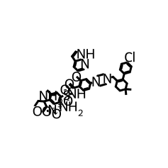 Cc1cc(S(=O)(=O)NC(=O)c2ccc(N3CCN(CC4=C(c5ccc(Cl)cc5)CC(C)(C)CC4)CC3)cc2Oc2cnc3[nH]ccc3c2)c(N)c([N+](=O)[O-])c1C1(N)CCOCC1